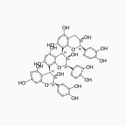 Oc1cc(O)c2c(c1)O[C@H](c1ccc(O)c(O)c1)[C@H](O)[C@@H]2c1c(O)cc(O)c2c1O[C@H](c1ccc(O)c(O)c1)[C@H](O)[C@@H]2c1c(O)cc(O)c2c1O[C@H](c1ccc(O)c(O)c1)[C@H](O)C2